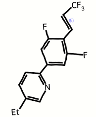 CCc1ccc(-c2cc(F)c(/C=C/C(F)(F)F)c(F)c2)nc1